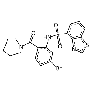 O=C(c1ccc(Br)cc1NS(=O)(=O)c1cccc2scnc12)N1CCCCC1